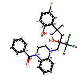 CC(C)(CC(O)(CN1CCN(C(=O)c2ccccc2)c2ccccc21)C(F)(F)F)c1cc(F)ccc1O